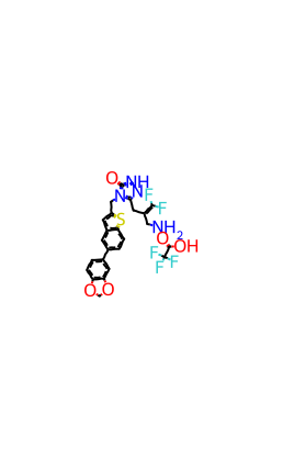 NCC(Cc1n[nH]c(=O)n1Cc1cc2cc(-c3ccc4c(c3)OCO4)ccc2s1)=C(F)F.O=C(O)C(F)(F)F